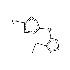 CCc1nccn1Nc1ccc(N)cc1